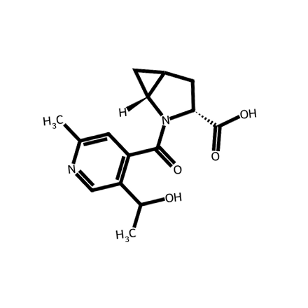 Cc1cc(C(=O)N2[C@@H](C(=O)O)CC3C[C@H]32)c(C(C)O)cn1